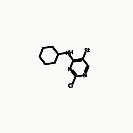 CCc1cnc(Cl)nc1NC1CCCCC1